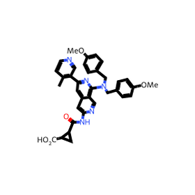 COc1ccc(CN(Cc2ccc(OC)cc2)c2nc(-c3cnccc3C)cc3cc(NC(=O)C4CC4C(=O)O)ncc23)cc1